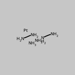 N.N.NN.NN.[Pt]